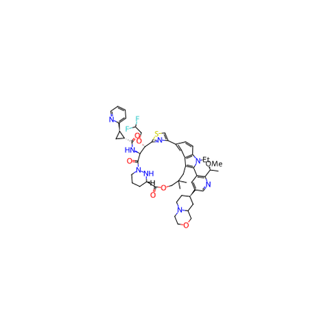 CCn1c(-c2cc([C@@H]3CCN4CCOCC4C3)cnc2[C@H](C)OC)c2c3cc(ccc31)-c1csc(n1)[C@@H](OCC(F)F)[C@H](NC(=O)[C@@H]1C[C@H]1c1ccccn1)C(=O)N1CCC[C@H](N1)C(=O)OCC(C)(C)C2